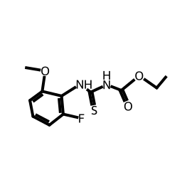 CCOC(=O)NC(=S)Nc1c(F)cccc1OC